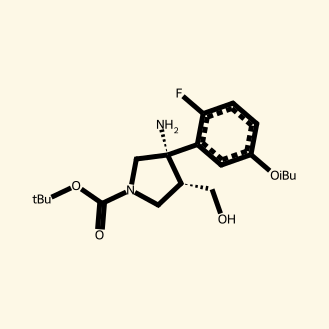 CC(C)COc1ccc(F)c([C@]2(N)CN(C(=O)OC(C)(C)C)C[C@H]2CO)c1